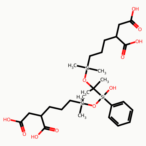 CC(C)(O[Si](C)(C)CCCC(CC(=O)O)C(=O)O)[Si](O)(O[Si](C)(C)CCCC(CC(=O)O)C(=O)O)c1ccccc1